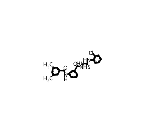 Cc1cc(C)cc(C(=O)Nc2cccc(C(=O)NNC(=S)Nc3ccccc3Cl)c2)c1